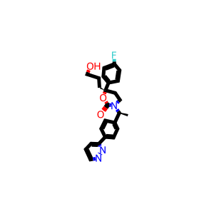 C[C@@H](c1ccc(-c2cccnn2)cc1)N1CC[C@](CCCO)(c2ccc(F)cc2)OC1=O